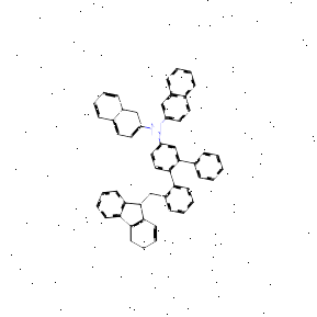 C1=CC2=CC=C(N(c3ccc(-c4ccccc4CC4C5=C(CCC=C5)c5ccccc54)c(-c4ccccc4)c3)c3ccc4ccccc4c3)CC2C=C1